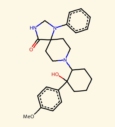 COc1ccc(C2(O)CCCCC2N2CCC3(CC2)C(=O)NCN3c2ccccc2)cc1